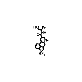 CCC(CO)NC(=O)C1C=C2c3cccc4c3c(cn4C(F)(F)F)CC2N(C)C1